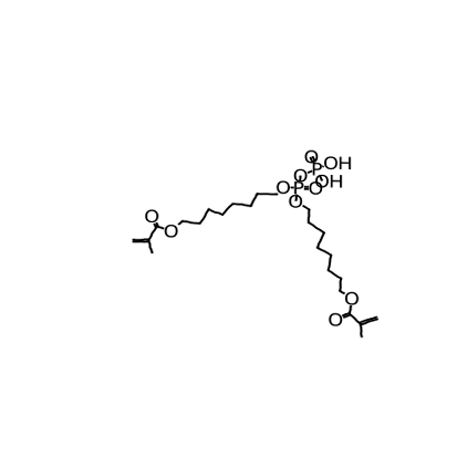 C=C(C)C(=O)OCCCCCCCCOP(=O)(OCCCCCCCCOC(=O)C(=C)C)OP(=O)(O)O